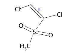 CS(=O)(=O)/C(Cl)=C\Cl